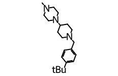 CN1CCN(C2CCN(Cc3ccc(C(C)(C)C)cc3)CC2)CC1